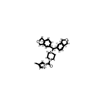 Cc1cnn(C(=O)N2CCN(C(c3ccc4c(c3)COC4)c3ccc4c(c3)COC4)CC2)c1